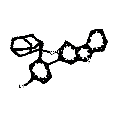 OC1(c2cc(Cl)ccc2-c2ccc3c(c2)sc2ccccc23)C2CC3CC(C2)CC1C3